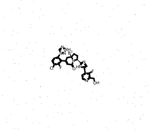 B[C@@]12CC[C@@H](c3ncc(-c4ccnc(CO)c4F)[nH]3)N1C(=O)C=C(c1c(-n3cnnn3)ccc(Cl)c1F)C2